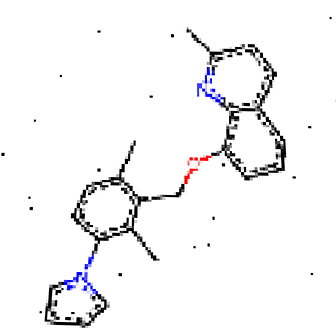 Cc1ccc2cccc(OCc3c(C)ccc(-n4cccc4)c3C)c2n1